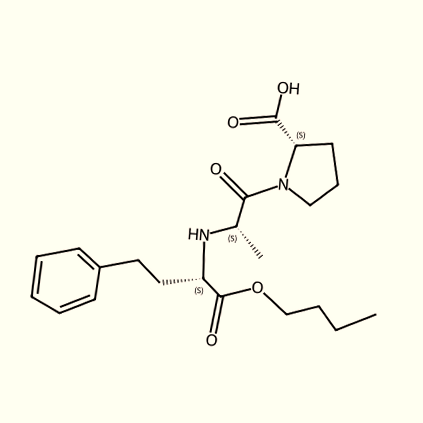 CCCCOC(=O)[C@H](CCc1ccccc1)N[C@@H](C)C(=O)N1CCC[C@H]1C(=O)O